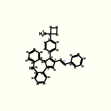 NC1(c2ccc(-c3c(/C=C/c4ccccc4)nc4n3-c3cccnc3Nc3ccccc3-4)cc2)CCC1